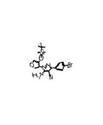 CC(C)(C)[Si](C)(C)OC1COCC1n1nc(-c2ccc(Br)cc2)c(C#N)c1N